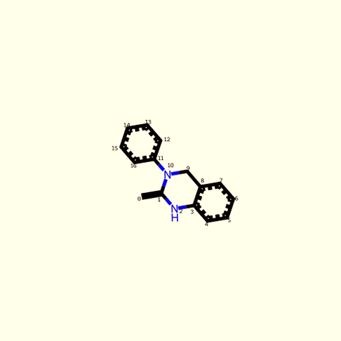 C=C1Nc2ccccc2CN1c1ccccc1